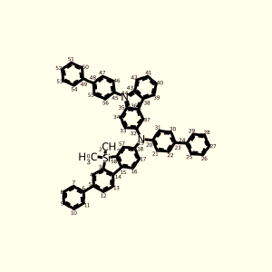 C[Si]1(C)c2cc(-c3ccccc3)ccc2-c2ccc(N(c3ccc(-c4ccccc4)cc3)c3ccc4c(c3)c3ccccc3n4-c3ccc(-c4ccccc4)cc3)cc21